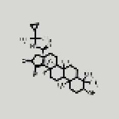 CC(C)C1=C2[C@H]3CCC4[C@@]5(C)CC[C@H](O)C(C)(C)C5CC[C@@]4(C)[C@]3(C)CC[C@@]2(C(=O)NC(C)(C)C2CC2)CC1=O